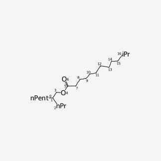 CCCCCC(CCC)COC(=O)CCCCCCCCCC(C)C